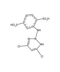 O=S(=O)(O)c1ccc(S(=O)(=O)O)c(NN2N=C(Cl)C=C(Cl)N2)c1